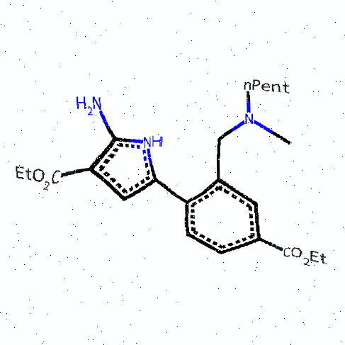 CCCCCN(C)Cc1cc(C(=O)OCC)ccc1-c1cc(C(=O)OCC)c(N)[nH]1